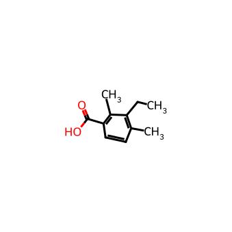 CCc1c(C)ccc(C(=O)O)c1C